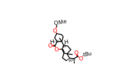 COCOC1CCC2(C)[C@H](C1)C(=O)OC1=C3CC[C@H]([C@H](C)C(=O)OC(C)(C)C)C3(C)CC[C@@H]12